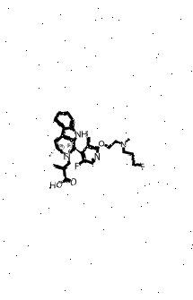 Cc1c(OCCN(C)CCCF)ncc(F)c1[C@@H]1c2[nH]c3ccccc3c2C[C@@H](C)N1CC(C)C(=O)O